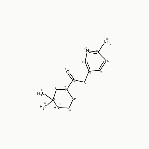 CC1(C)CN(C(=O)Cc2ccc(N)nc2)CCN1